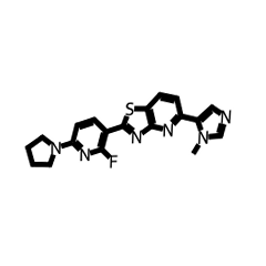 Cn1cncc1-c1ccc2sc(-c3ccc(N4CCCC4)nc3F)nc2n1